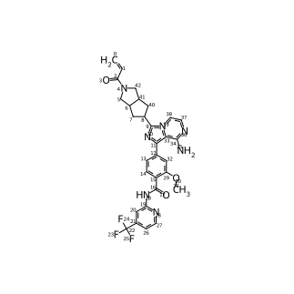 C=CC(=O)N1CC2CC(c3nc(-c4ccc(C(=O)Nc5cc(C(F)(F)F)ccn5)c(OC)c4)c4c(N)nccn34)CC2C1